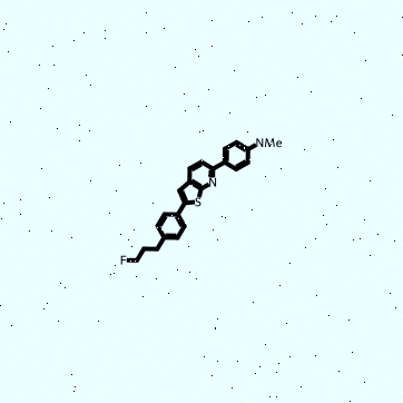 CNc1ccc(-c2ccc3cc(-c4ccc(CCCF)cc4)sc3n2)cc1